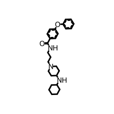 O=C(NCCCN1CCC(NC2CCCCC2)CC1)c1ccc(Oc2ccccc2)cc1